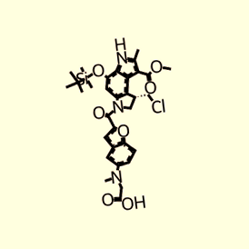 COC(=O)c1c(C)[nH]c2c(O[Si](C)(C)C(C)(C)C)cc3c(c12)[C@H](CCl)CN3C(=O)c1cc2cc(N(C)CC(=O)O)ccc2o1